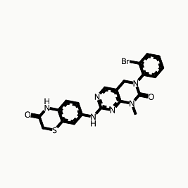 CN1C(=O)N(c2ccccc2Br)Cc2cnc(Nc3ccc4c(c3)SCC(=O)N4)nc21